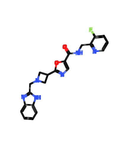 O=C(NCc1ncccc1F)c1cnc(C2CN(Cc3nc4ccccc4[nH]3)C2)o1